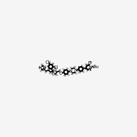 CCC(C)n1ncc(-c2ccc(N3CCN(c4ccc(OCC5COC(CCCn6cncn6)(c6ccc(Cl)cc6Cl)O5)cc4)CC3)cc2)cc1=O